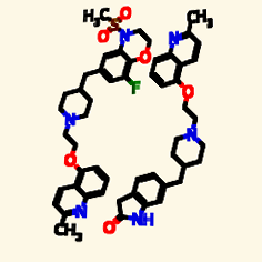 Cc1ccc2c(OCCN3CCC(Cc4cc(F)c5c(c4)N(S(C)(=O)=O)CCO5)CC3)cccc2n1.Cc1ccc2c(OCCN3CCC(Cc4ccc5c(c4)NC(=O)C5)CC3)cccc2n1